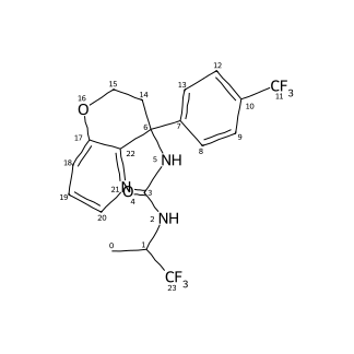 CC(NC(=O)NC1(c2ccc(C(F)(F)F)cc2)CCOc2cccnc21)C(F)(F)F